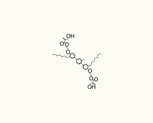 C=C(CO)C(=O)OCCOc1ccc(-c2ccc(-c3ccc(OCCOC(=O)C(=C)CO)c(CCCCCCC)c3)c(C)c2)cc1CCCCCCC